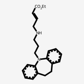 CCOC(=O)/C=C/CNCCCN1c2ccccc2CCc2ccccc21